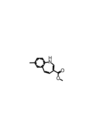 COC(=O)C1=CNc2ccc(C)cc2C=C1